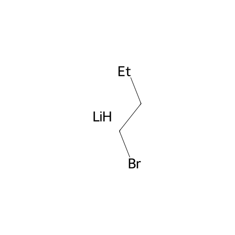 CCCCBr.[LiH]